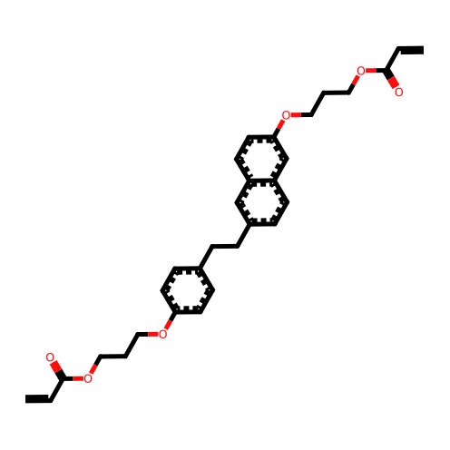 C=CC(=O)OCCCOc1ccc(CCc2ccc3cc(OCCCOC(=O)C=C)ccc3c2)cc1